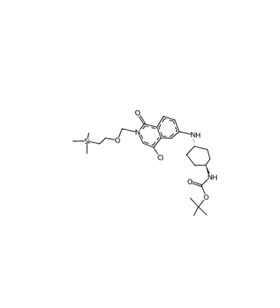 CC(C)(C)OC(=O)N[C@H]1CC[C@H](Nc2ccc3c(=O)n(COCC[Si](C)(C)C)cc(Cl)c3c2)CC1